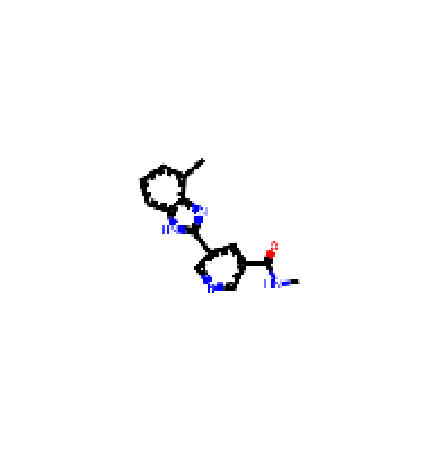 CNC(=O)c1cncc(-c2nc3c(C)cccc3[nH]2)c1